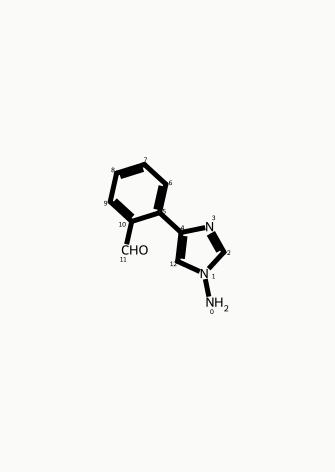 Nn1cnc(-c2ccccc2C=O)c1